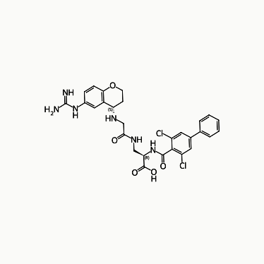 N=C(N)Nc1ccc2c(c1)[C@@H](NCC(=O)NC[C@@H](NC(=O)c1c(Cl)cc(-c3ccccc3)cc1Cl)C(=O)O)CCO2